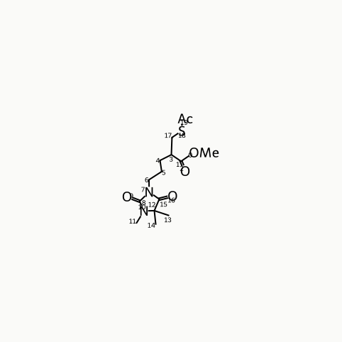 COC(=O)C(CCCN1C(=O)N(C)C(C)(C)C1=O)CSC(C)=O